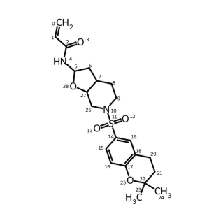 C=CC(=O)NC1CC2CCN(S(=O)(=O)c3ccc4c(c3)CCC(C)(C)O4)CC2O1